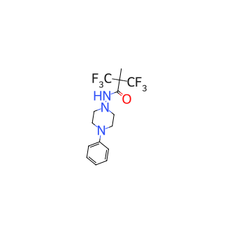 CC(C(=O)NN1CCN(c2ccccc2)CC1)(C(F)(F)F)C(F)(F)F